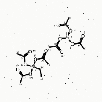 CC(=O)O[SiH](OC(C)=O)OC(C)=O.CC[Si](OC(C)=O)(OC(C)=O)OC(C)=O